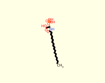 CCCCCCCCCC=CC=CC=CC=CC=CC(=O)N[C@@H](COP(=O)(O)O)C(=O)O